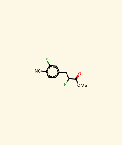 COC(=O)C(F)Cc1ccc(C#N)c(F)c1